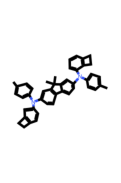 Cc1ccc(N(c2ccc3c(c2)CC3)c2ccc3c(c2)C(C)(C)c2cc(N(c4ccc(C)cc4)c4cccc5c4CC5)ccc2-3)cc1